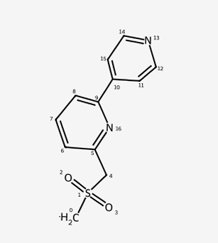 [CH2]S(=O)(=O)Cc1cccc(-c2ccncc2)n1